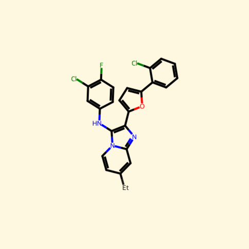 CCc1ccn2c(Nc3ccc(F)c(Cl)c3)c(-c3ccc(-c4ccccc4Cl)o3)nc2c1